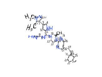 Cc1c(-c2c[nH]c(/C(=N\C=N)N3CCN(c4ncc(Cc5ccccc5)cn4)[C@H](C)C3)c2)cnn1C